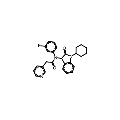 O=C1C(N(C(=O)Cc2cccnc2)c2cccc(F)c2)c2ccccc2N1C1CCCCC1